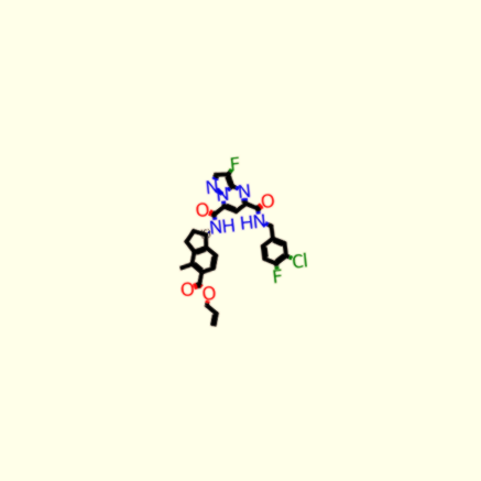 C=CCOC(=O)c1ccc2c(c1C)CC[C@@H]2NC(=O)c1cc(C(=O)NCc2ccc(F)c(Cl)c2)nc2c(F)cnn12